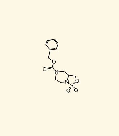 O=C(OCc1ccccc1)N1CCN2C(COS2(=O)=O)C1